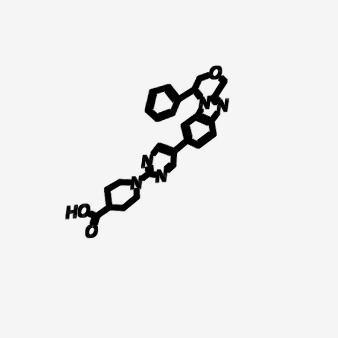 O=C(O)C1CCN(c2ncc(-c3ccc4nc5n(c4c3)C(c3ccccc3)COC5)cn2)CC1